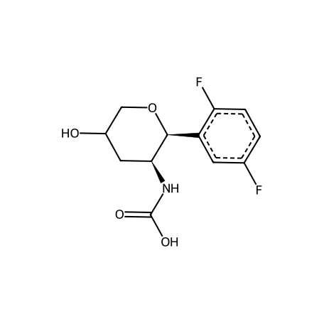 O=C(O)N[C@H]1CC(O)CO[C@H]1c1cc(F)ccc1F